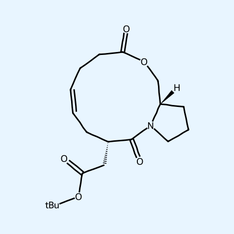 CC(C)(C)OC(=O)C[C@@H]1CC=CCCC(=O)OC[C@@H]2CCCN2C1=O